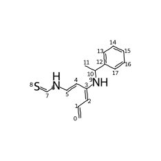 C=C/C=C(\C=C\NC=S)NC(C)c1ccccc1